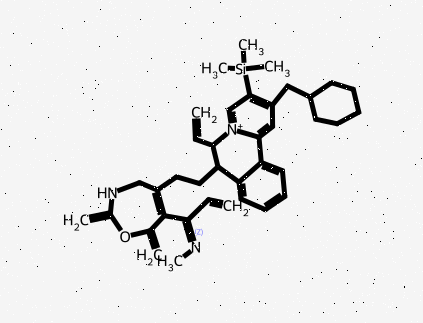 C=C/C(=N/C)C1=C(CCC2c3ccccc3-c3cc(CC4CCCCC4)c([Si](C)(C)C)c[n+]3C2C=C)CNC(=C)OC1=C